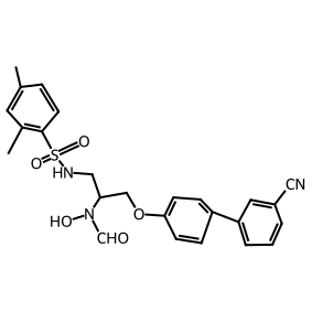 Cc1ccc(S(=O)(=O)NCC(COc2ccc(-c3cccc(C#N)c3)cc2)N(O)C=O)c(C)c1